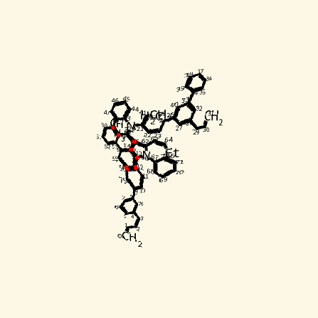 C=C/C=C\c1cccc(-c2ccc(/C=C/C=C(\C=C/C)N(C(/C=C\C(=C)c3cc(CC=C)cc(-c4ccccc4)c3)=C/C)c3ccccc3-c3cccc(-c4cccc5c4c(C)c(/C=C\CC)n5-c4ccccc4)c3)cc2)c1